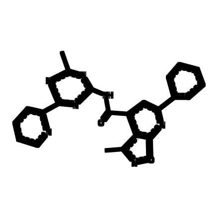 Cc1nc(NC(=O)c2cc(-c3ccccc3)nc3onc(C)c23)nc(-c2ccccn2)n1